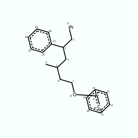 CC(C)CC(CC(C)CCOc1[c]c2ccc1cc2)c1ccccc1